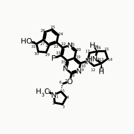 CN1CCC[C@H]1COc1nc(N2C[C@H]3CC[C@@H](C2)N3)c2cnc(-c3cccc4c3CCC4O)c(F)c2n1